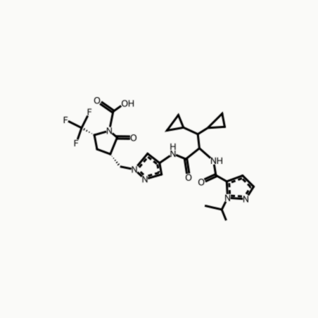 CC(C)n1nccc1C(=O)NC(C(=O)Nc1cnn(C[C@@H]2C[C@H](C(F)(F)F)N(C(=O)O)C2=O)c1)C(C1CC1)C1CC1